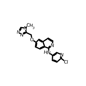 Cn1cnnc1COc1ccc2c(Nc3ccc(Cl)nc3)nccc2c1